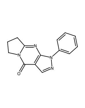 O=c1c2cnn(-c3ccccc3)c2nc2n1CCC2